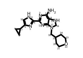 Nc1nc(-c2nc(C3CC3)c[nH]2)nc2c1NCN2CC1CCOCC1